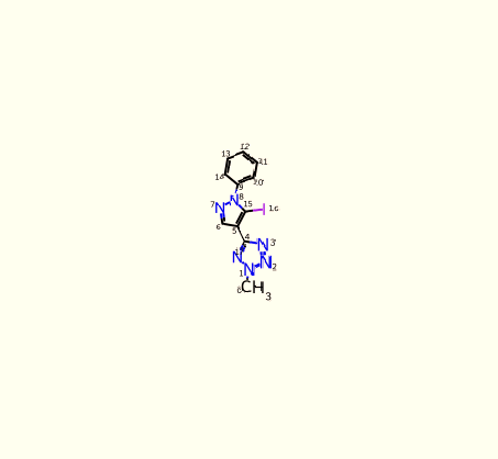 Cn1nnc(-c2cnn(-c3ccccc3)c2I)n1